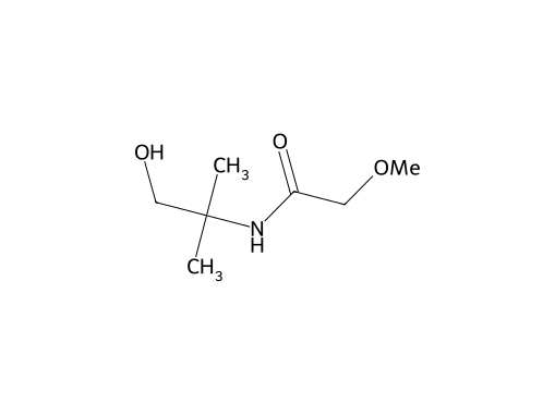 COCC(=O)NC(C)(C)CO